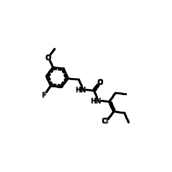 CC/C(Cl)=C(\CC)NC(=O)NCc1cc(F)cc(OC)c1